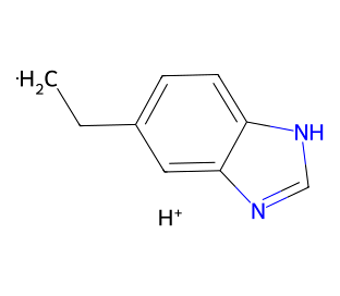 [CH2]Cc1ccc2[nH]cnc2c1.[H+]